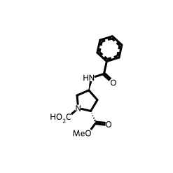 COC(=O)[C@H]1C[C@H](NC(=O)c2ccccc2)CN1C(=O)O